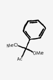 COC(OC)(C(C)=O)c1ccccc1